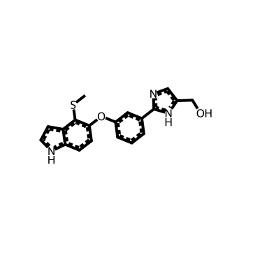 CSc1c(Oc2cccc(-c3ncc(CO)[nH]3)c2)ccc2[nH]ccc12